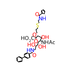 CC(=O)N[C@H]1[C@H]([C@H](O)[C@H](O)CNC(=O)c2ccc(-c3ccccc3)cc2)O[C@@](OCCCSCCNC(=O)C2=CC=C[C@@H]2C)(C(=O)O)C[C@@H]1O